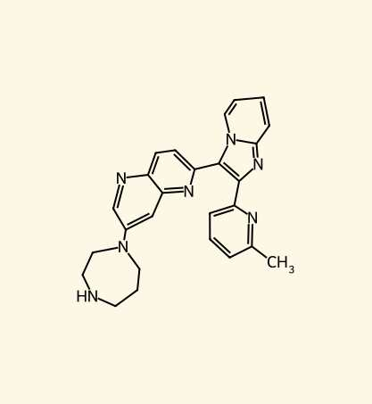 Cc1cccc(-c2nc3ccccn3c2-c2ccc3ncc(N4CCCNCC4)cc3n2)n1